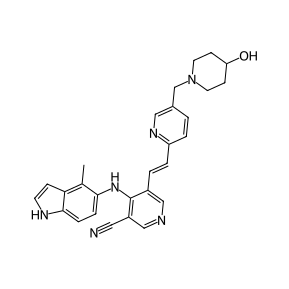 Cc1c(Nc2c(C#N)cncc2C=Cc2ccc(CN3CCC(O)CC3)cn2)ccc2[nH]ccc12